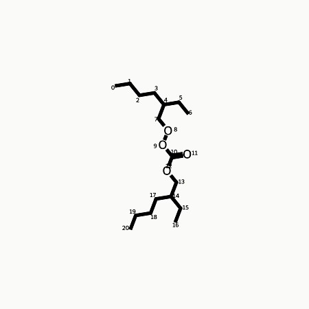 CCCCC(CC)COOC(=O)OCC(CC)CCCC